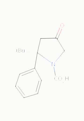 CC(C)(C)[C@]1(c2ccccc2)CC(=O)CN1C(=O)O